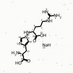 N=C(N)NCCC[C@H](Nn1cnc(C[C@H](N)C(=O)O)c1)C(=O)O.[NaH]